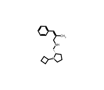 CC(=Cc1ccccc1)CNC[C@@H]1CCCN1C1CCC1